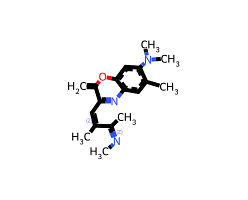 C=C1Oc2cc(N(C)C)c(C)cc2N=C1/C=C(C)\C(C)=N/C